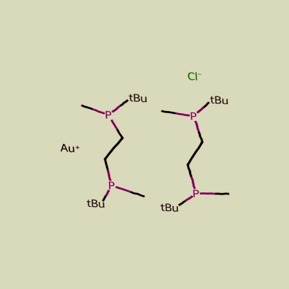 CP(CCP(C)C(C)(C)C)C(C)(C)C.CP(CCP(C)C(C)(C)C)C(C)(C)C.[Au+].[Cl-]